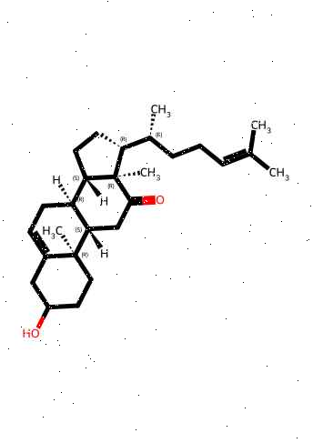 CC(C)=CCC[C@@H](C)[C@H]1CC[C@H]2[C@@H]3CC=C4CC(O)CC[C@]4(C)[C@H]3CC(=O)[C@]12C